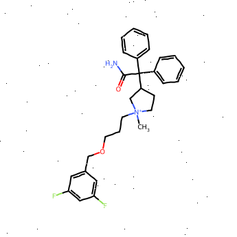 C[N+]1(CCCOCc2cc(F)cc(F)c2)CCC(C(C(N)=O)(c2ccccc2)c2ccccc2)C1